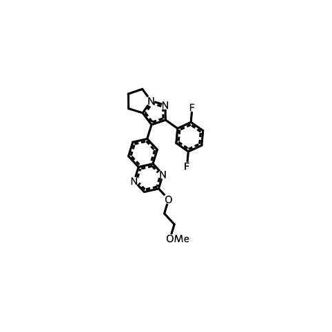 COCCOc1cnc2ccc(-c3c(-c4cc(F)ccc4F)nn4c3CCC4)cc2n1